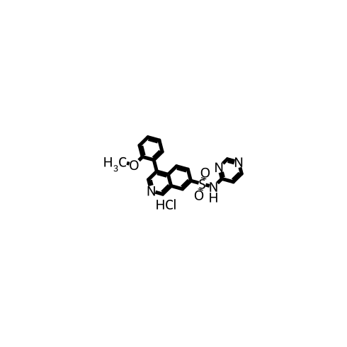 COc1ccccc1-c1cncc2cc(S(=O)(=O)Nc3ccncn3)ccc12.Cl